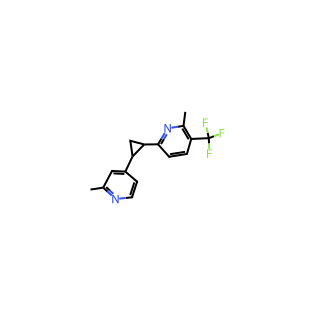 Cc1cc(C2CC2c2ccc(C(F)(F)F)c(C)n2)ccn1